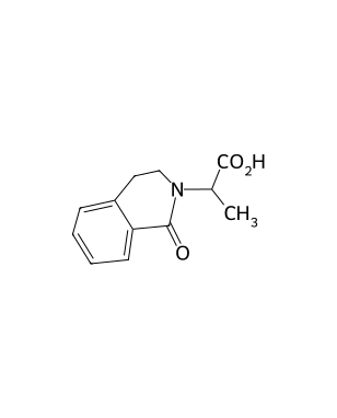 CC(C(=O)O)N1CCc2ccccc2C1=O